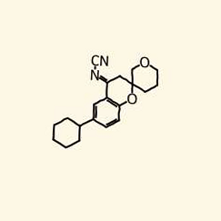 N#C/N=C1\CC2(CCCOC2)Oc2ccc(C3CCCCC3)cc21